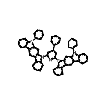 C1=CCCC(n2c3ccccc3c3cc4c5ccccc5n(-c5cc(-c6ccccc6)cc(-n6c7ccccc7c7cc8c9ccccc9n(-c9ccccc9)c8cc76)n5)c4cc32)=C1